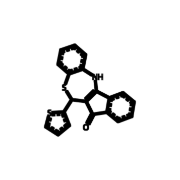 O=C1C2=C(Nc3ccccc3SC2c2cccs2)c2ccccc21